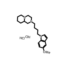 COc1ccc2c(ccn2CCCCN2CCN3CCCCC3C2)c1.Cl.Cl